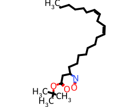 CCCCCC/C=C\C/C=C\CCCCCCCC(CC(=O)OC(C)(C)C)N=O